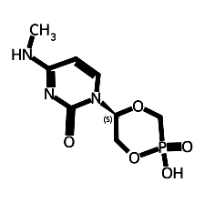 CNc1ccn([C@@H]2COP(=O)(O)CO2)c(=O)n1